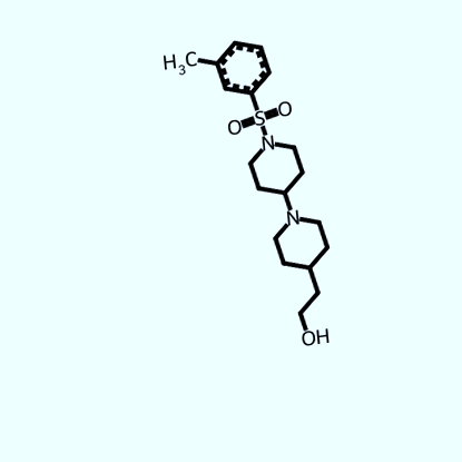 Cc1cccc(S(=O)(=O)N2CCC(N3CCC(CCO)CC3)CC2)c1